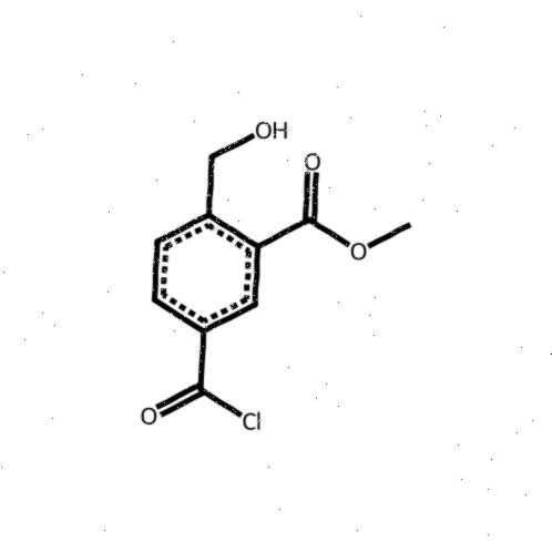 COC(=O)c1cc(C(=O)Cl)ccc1CO